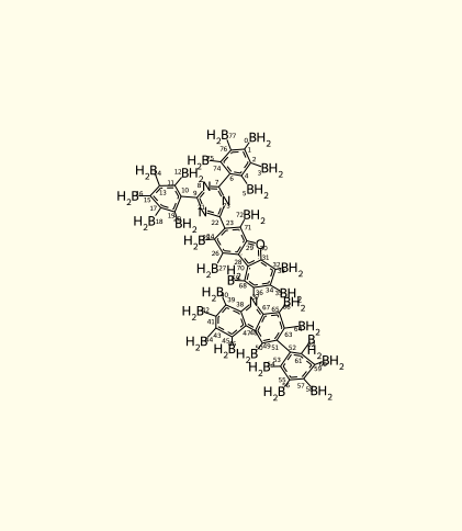 Bc1c(B)c(B)c(-c2nc(-c3c(B)c(B)c(B)c(B)c3B)nc(-c3c(B)c(B)c4c(oc5c(B)c(B)c(-n6c7c(B)c(B)c(B)c(B)c7c7c(B)c(-c8c(B)c(B)c(B)c(B)c8B)c(B)c(B)c76)c(B)c54)c3B)n2)c(B)c1B